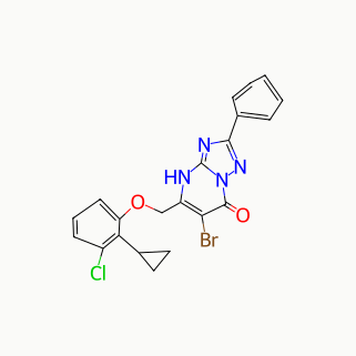 O=c1c(Br)c(COc2cccc(Cl)c2C2CC2)[nH]c2nc(-c3ccccc3)nn12